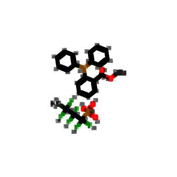 CC(C)(C)OC(=O)c1ccccc1[S+](c1ccccc1)c1ccccc1.O=S(=O)([O-])C(F)(F)C(F)(F)C(F)(F)C(F)(F)F